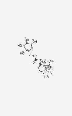 CC1CC=C(OC(=O)OC[C@H]2O[C@H](O)[C@H](O)[C@@H](O)[C@H]2O)[C@](C)(OC(C)(C)C)C1(C)C